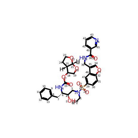 CC(C)CN(C[C@@H](O)[C@H](Cc1ccccc1)NC(=O)OC1CO[C@H]2OCC[C@@H]12)S(=O)(=O)c1ccc2occ(CNC(=O)c3cccnc3)c2c1